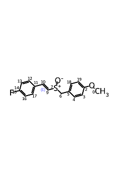 COc1ccc(C[S+]([O-])/C=C/c2ccc(F)cc2)cc1